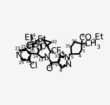 CCOC(=O)C1(C)CCC(n2ncc(C(=O)N(CC(O[Si](CC)(CC)CC)c3c(Cl)cncc3Cl)CC3(C(F)(F)F)CC3)c2C(F)(F)F)CC1